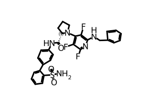 NS(=O)(=O)c1ccccc1-c1ccc(NC(=O)[C@@H]2CCCN2c2c(F)c(F)nc(NCc3ccccc3)c2F)cc1